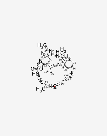 Cc1nc2c3cc(C4(C#N)CC4)c(=O)n(c3n1)CC(=O)NCCC(C)N1CC(CCC(F)(F)c3cccc(c3)[C@@H](C)N2)C1